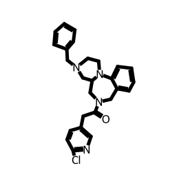 O=C(Cc1ccc(Cl)nc1)N1Cc2ccccc2N2CCN(Cc3ccccc3)CC2C1